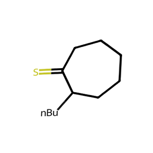 [CH2]CCCC1CCCCCC1=S